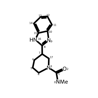 CNC(=O)N1CCCC(c2nc3ccccc3[nH]2)C1